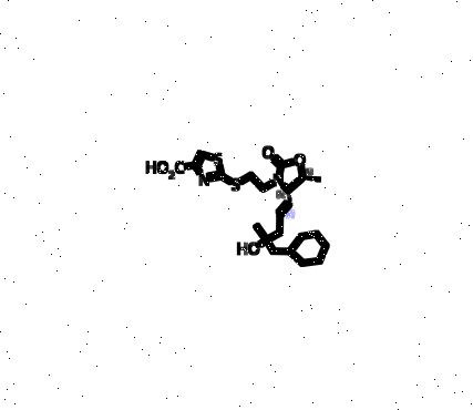 C[C@@H]1OC(=O)N(CCSc2nc(C(=O)O)cs2)[C@H]1/C=C/CC(C)(O)CC1CCCCC1